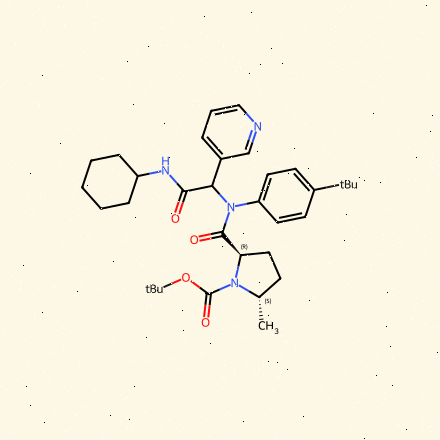 C[C@H]1CC[C@H](C(=O)N(c2ccc(C(C)(C)C)cc2)C(C(=O)NC2CCCCC2)c2cccnc2)N1C(=O)OC(C)(C)C